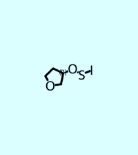 ISO[C@@H]1CCOC1